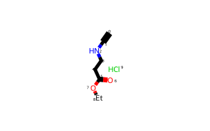 C#CNCCC(=O)OCC.Cl